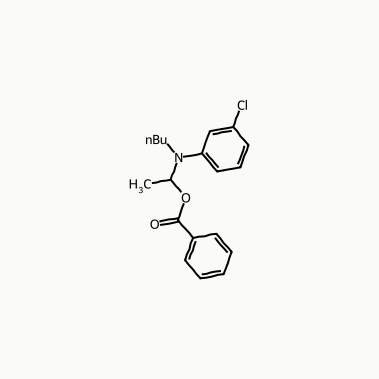 CCCCN(c1cccc(Cl)c1)C(C)OC(=O)c1ccccc1